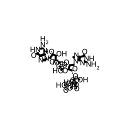 CO[C@@H]1[C@H](OP(=O)(O)OC[C@H]2O[C@@H](n3cnc4c(=O)[nH]c(N)nc43)[C@H](O)[C@@H]2O)[C@@H](COP(=O)(O)OP(=O)(O)OP(=O)(O)O)O[C@H]1n1cnc2c(=O)[nH]c(N)nc21